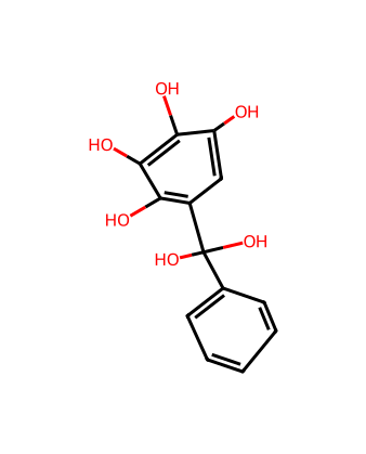 Oc1cc(C(O)(O)c2ccccc2)c(O)c(O)c1O